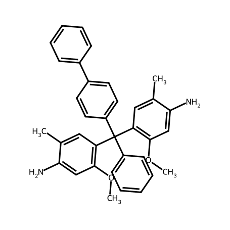 COc1cc(N)c(C)cc1C(c1ccccc1)(c1ccc(-c2ccccc2)cc1)c1cc(C)c(N)cc1OC